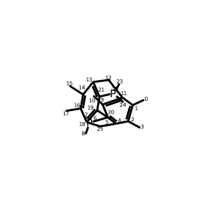 Cc1c(C)c2c(P(C)C)c(C)c1Cc1c(C)c(C)c(c(C)c1P(C)C)C2